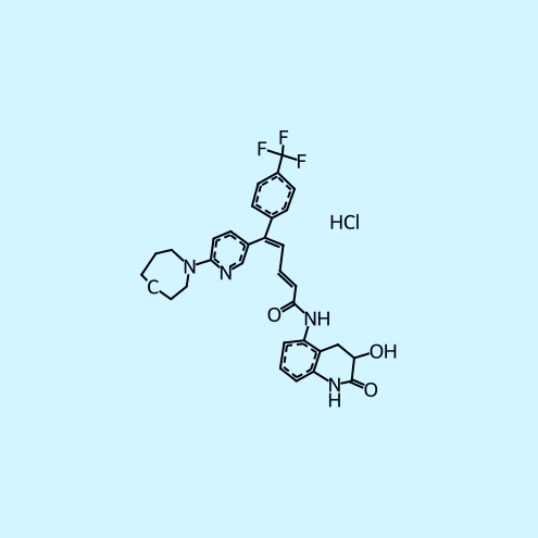 Cl.O=C(C=CC=C(c1ccc(C(F)(F)F)cc1)c1ccc(N2CCCCCC2)nc1)Nc1cccc2c1CC(O)C(=O)N2